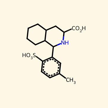 Cc1ccc(S(=O)(=O)O)c(C2NC(C(=O)O)CC3CCCCC32)c1